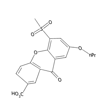 CCCOc1cc(S(C)(=O)=O)c2oc3ccc(C(=O)O)cc3c(=O)c2c1